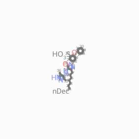 CCCCCCCCCCCCCCCCCC1=NN(c2ccc(Oc3ccccc3)c(S(=O)(=O)O)c2)C(=O)C1/N=N/c1c(C)n[nH]c1C